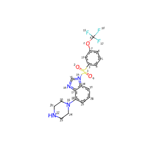 O=S(=O)(c1cccc(OC(F)(F)F)c1)n1cnc2c(N3CCNCC3)cccc21